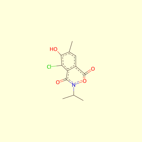 Cc1cc2c(=O)on(C(C)C)c(=O)c2c(Cl)c1O